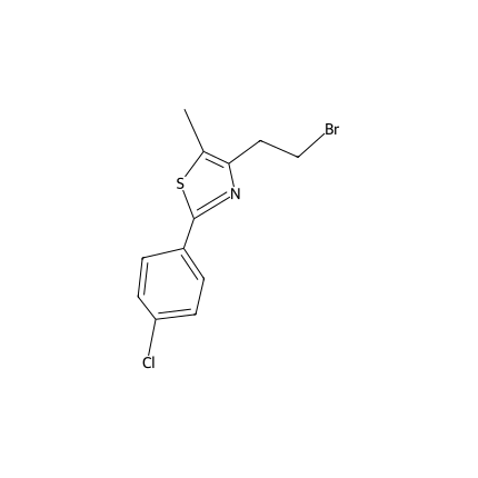 Cc1sc(-c2ccc(Cl)cc2)nc1CCBr